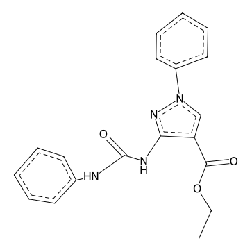 CCOC(=O)c1cn(-c2ccccc2)nc1NC(=O)Nc1ccccc1